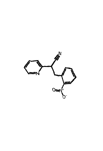 N#CC(Cc1ccccc1[N+](=O)[O-])c1ccccn1